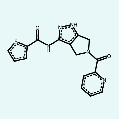 O=C(Nc1n[nH]c2c1CN(C(=O)c1ccccn1)C2)c1cccs1